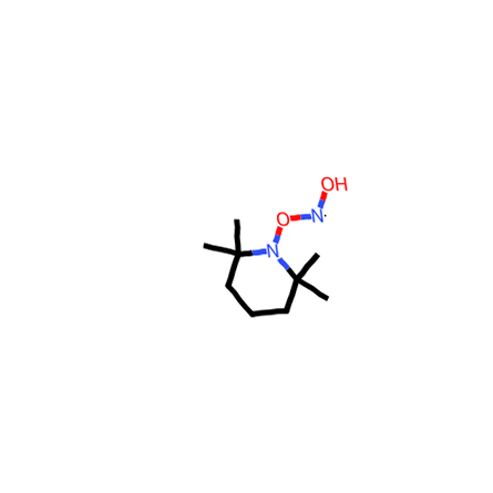 CC1(C)CCCC(C)(C)N1O[N]O